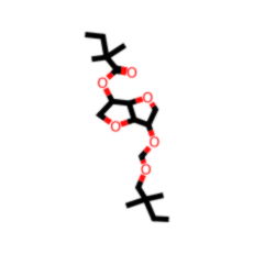 CCC(C)(C)COCOC1COC2C(OC(=O)C(C)(C)CC)COC12